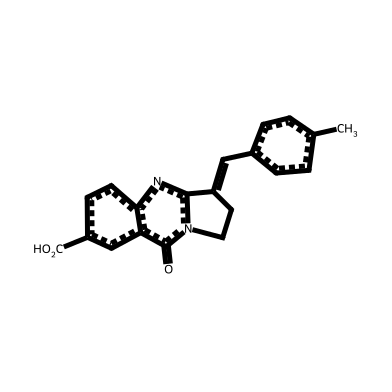 Cc1ccc(C=C2CCn3c2nc2ccc(C(=O)O)cc2c3=O)cc1